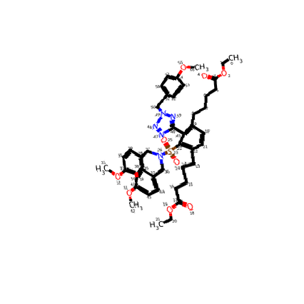 CCOC(=O)CCCCc1ccc(CCCCC(=O)OCC)c(S(=O)(=O)N(Cc2ccc(OC)cc2)Cc2ccc(OC)cc2)c1-c1nnn(Cc2ccc(OC)cc2)n1